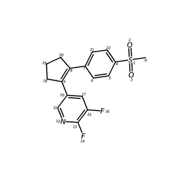 CS(=O)(=O)c1ccc(C2=C(c3cnc(F)c(F)c3)CCC2)cc1